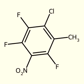 Cc1c(F)c([N+](=O)[O-])c(F)c(F)c1Cl